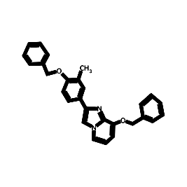 Cc1cc(-c2cn3cccc(OCc4ccccc4)c3n2)ccc1OCc1ccccc1